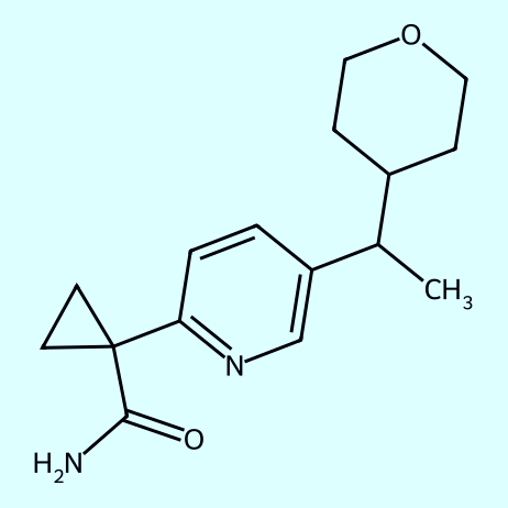 CC(c1ccc(C2(C(N)=O)CC2)nc1)C1CCOCC1